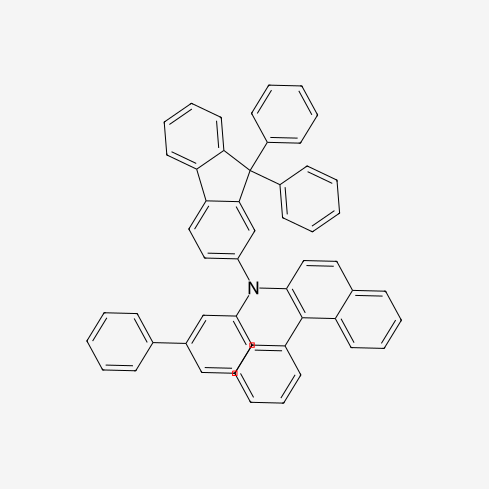 c1ccc(-c2cccc(N(c3ccc4c(c3)C(c3ccccc3)(c3ccccc3)c3ccccc3-4)c3ccc4ccccc4c3-c3ccccc3)c2)cc1